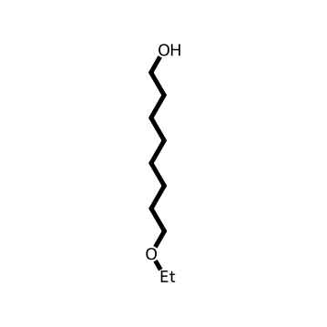 CCOCCCCCCCCO